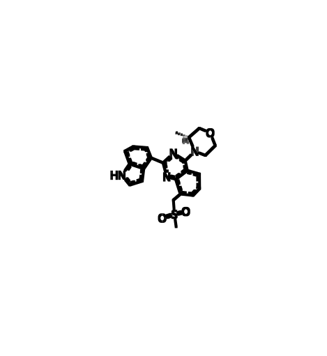 C[C@@H]1COCCN1c1nc(-c2cccc3[nH]ccc23)nc2c(CS(C)(=O)=O)cccc12